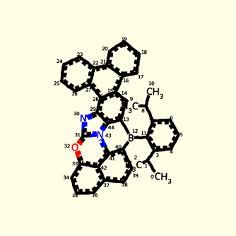 CC(C)c1cccc(C(C)C)c1B1c2cc3c4ccccc4c4ccccc4c3c3nc4oc5cccc6ccc1c(c65)n4c23